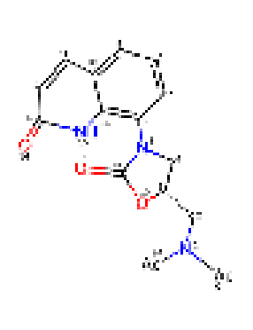 CC(=O)N(C[C@H]1CN(c2cccc3ccc(=O)[nH]c23)C(=O)O1)C(C)=O